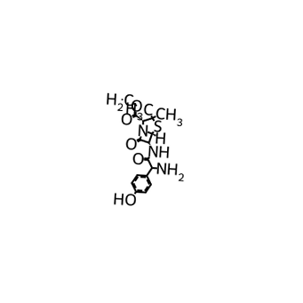 [CH2]OC(=O)[C@@H]1N2C(=O)[C@@H](NC(=O)C(N)c3ccc(O)cc3)[C@H]2SC1(C)C